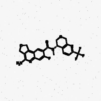 CN(C(=O)c1cc2c3c(c(N)nc2cc1F)COC3)[C@@H]1COCc2nc(C(F)(F)F)ccc21